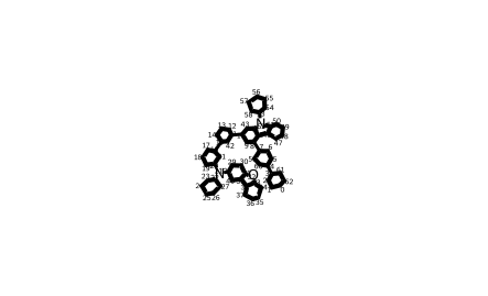 c1ccc(-c2ccc(-c3cc(-c4cccc(-c5cccc(N(c6ccccc6)c6ccc7oc8ccccc8c7c6)c5)c4)cc4c3c3ccccc3n4-c3ccccc3)cc2)cc1